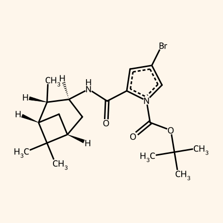 C[C@@H]1[C@@H](NC(=O)c2cc(Br)cn2C(=O)OC(C)(C)C)C[C@H]2C[C@@H]1C2(C)C